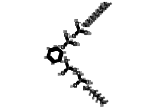 [Na+].[Na+].[Na+].[Na+].[Na+].[Na+].[Na+].[Na+].[Na+].[Na+].[Na+].[Na+].[O-]B([O-])[O-].[O-]B([O-])[O-].[O-]B([O-])[O-].[O-]B([O-])[O-].c1ccccc1